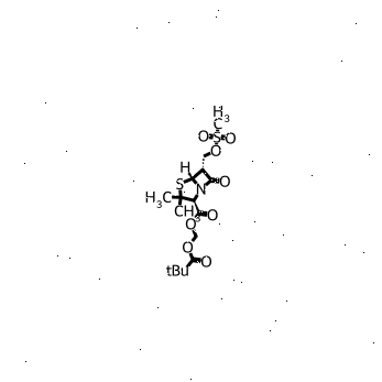 CC(C)(C)C(=O)OCOC(=O)[C@@H]1N2C(=O)[C@@H](COS(C)(=O)=O)[C@H]2SC1(C)C